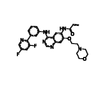 C=CC(=O)Nc1cc2c(Nc3cccc(-c4ncc(F)cc4F)c3)ncnc2cc1OCCN1CCOCC1